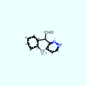 O=[C]C(c1cccnn1)c1ccccc1C(F)(F)F